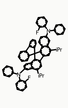 CC(C)c1cc2c(c3ccc(N(c4ccccc4)c4ccccc4F)cc13)C1(c3ccccc3-c3ccccc31)c1c-2cc(C(C)C)c2cc(N(c3ccccc3)c3ccccc3F)ccc12